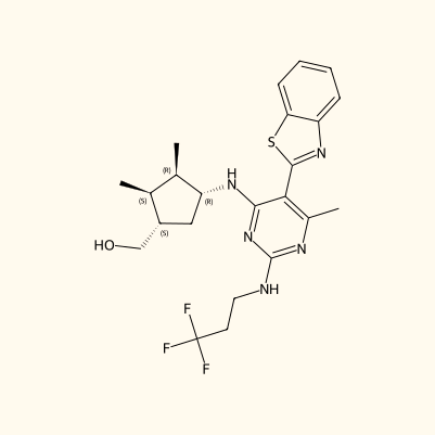 Cc1nc(NCCC(F)(F)F)nc(N[C@@H]2C[C@H](CO)[C@@H](C)[C@H]2C)c1-c1nc2ccccc2s1